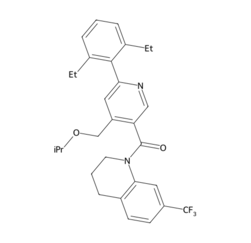 CCc1cccc(CC)c1-c1cc(COC(C)C)c(C(=O)N2CCCc3ccc(C(F)(F)F)cc32)cn1